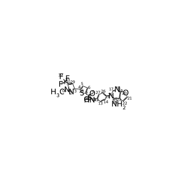 Cn1nc(-c2ccc(S(=O)(=O)Nc3ccc(N4C=Nc5occc5C4N)cc3)s2)cc1C(F)(F)F